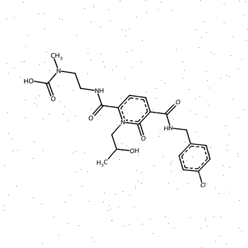 CC(O)Cn1c(C(=O)NCCN(C)C(=O)O)ccc(C(=O)NCc2ccc(Cl)cc2)c1=O